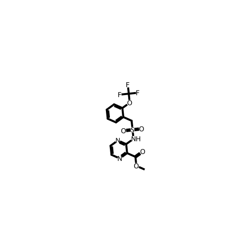 COC(=O)c1nccnc1NS(=O)(=O)Cc1ccccc1OC(F)(F)F